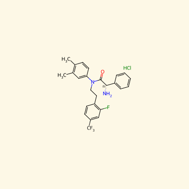 Cc1ccc(N(CCc2ccc(C(F)(F)F)cc2F)C(=O)[C@@H](N)c2ccccc2)cc1C.Cl